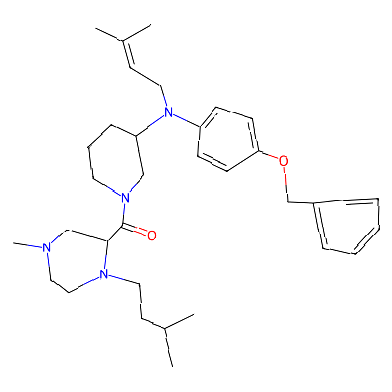 CC(C)=CCN(c1ccc(OCc2ccccc2)cc1)C1CCCN(C(=O)C2CN(C)CCN2CCC(C)C)C1